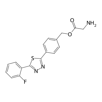 NCC(=O)OCc1ccc(-c2nnc(-c3ccccc3F)s2)cc1